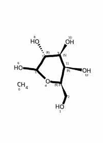 C.OC[C@H]1OC(O)[C@H](O)[C@@H](O)[C@H]1O